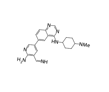 CNC1CCC(Nc2ncnc3ccc(-c4cnc(N)c(C=N)c4)cc23)CC1